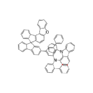 c1ccc(-c2cc(-c3ccc4c(c3)C3(c5ccccc5-4)c4ccccc4-c4c3ccc3oc5ccccc5c43)cc(N(c3ccccc3-c3ccccc3)c3cccc4c5ccccc5n(-c5ccccc5)c34)c2)cc1